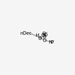 CCCCCCCCCCCCCCCCCCOCCCOCCCC[n+]1ccccc1.CS(=O)(=O)[O-]